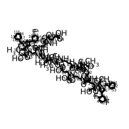 CC(NC(=O)CCCC(=O)NC(C)C(=O)N(C)C(C)C(=O)NCC(=O)NC(CCN(C(=O)CO)[C@@H](c1cc(-c2cc(F)ccc2F)cn1Cc1ccccc1)C(C)(C)C)C(=O)NCCC(=O)NC(CCC(=O)O)C(=O)O)C(=O)N(C)C(C)C(=O)NCC(=O)NC(CCN(C(=O)CO)[C@@H](c1cc(-c2cc(F)ccc2F)cn1Cc1ccccc1)C(C)(C)C)C(=O)NCCC(=O)NC(CCC(=O)O)C(=O)O